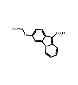 CCOC(=O)c1c2ccc(OCC#N)cc2n2ccccc12